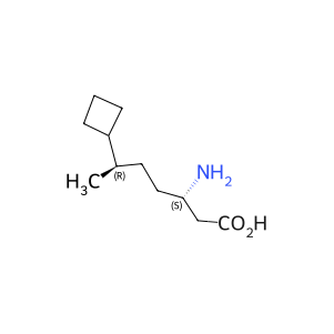 C[C@H](CC[C@H](N)CC(=O)O)C1CCC1